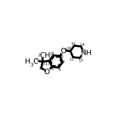 CC1(C)COc2ccc(OC3CCNCC3)cc21